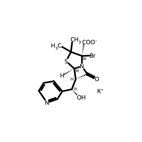 CC1(C)S[C@@H]2[C@@H]([C@H](O)c3cccnc3)C(=O)N2[C@@]1(Br)C(=O)[O-].[K+]